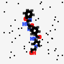 O=C(NC1CCN(CCO)C1)c1ccc2oc(Nc3nc4ccccc4o3)nc2c1